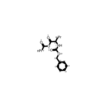 CCCC(=O)OC(=O)C(NC(=O)OCc1ccccc1)C(C)C